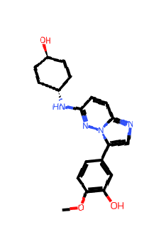 COc1ccc(-c2cnc3ccc(N[C@H]4CC[C@H](O)CC4)nn23)cc1O